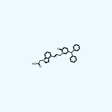 O=C(O)Cn1ccc2c(/C=C/Cn3cc(C(c4ccccc4)c4ccccc4)ccc3=O)cccc21